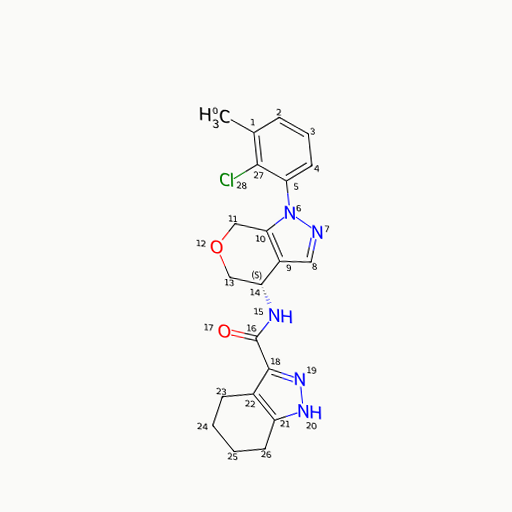 Cc1cccc(-n2ncc3c2COC[C@H]3NC(=O)c2n[nH]c3c2CCCC3)c1Cl